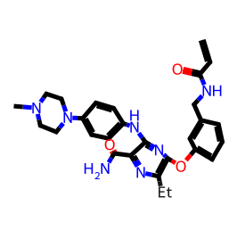 C=CC(=O)NCc1cccc(Oc2nc(Nc3ccc(N4CCN(C)CC4)cc3)c(C(N)=O)nc2CC)c1